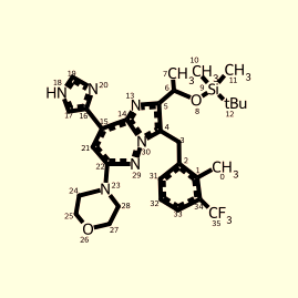 Cc1c(Cc2c(C(C)O[Si](C)(C)C(C)(C)C)nc3c(-c4c[nH]cn4)cc(N4CCOCC4)nn23)cccc1C(F)(F)F